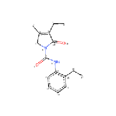 CCC1=C(C)CN(C(=O)Nc2ccccc2CC)C1=O